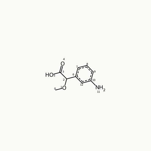 COC(C(=O)O)c1cccc(N)c1